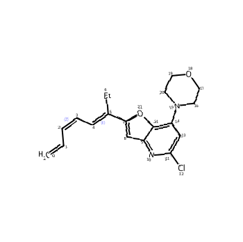 C=C/C=C\C=C(/CC)c1cc2nc(Cl)cc(N3CCOCC3)c2o1